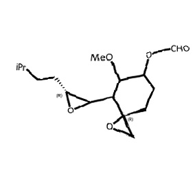 COC1C(OC=O)CC[C@]2(CO2)C1C1O[C@@H]1CCC(C)C